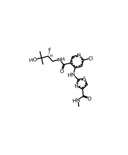 CNC(=O)c1csc(Nc2cc(Cl)ncc2C(=O)NC[C@@H](F)C(C)(C)O)n1